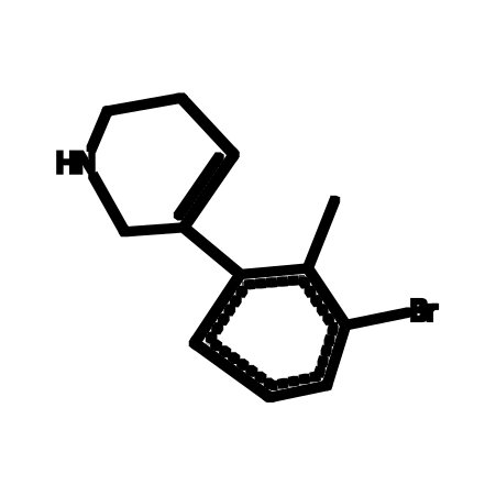 Cc1c(Br)cccc1C1=CCCNC1